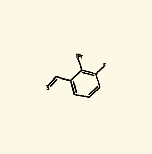 CC(C)c1c(F)cccc1C=S